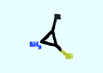 CCC1CC1S.N